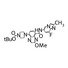 COc1cnc2c(N3CCN(C(=O)OC(C)(C)C)CC3)ccc(C(=O)Nc3cc(F)c4nc(C)cn4c3)c2n1